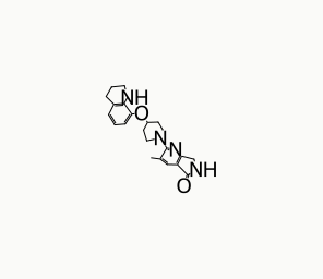 Cc1cc2c(nc1N1CCC(Oc3cccc4c3NCCC4)CC1)CNC2=O